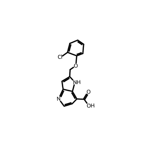 O=C(O)c1ccnc2cc(COc3ccccc3Cl)[nH]c12